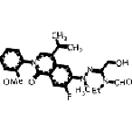 C=C(C)c1cn(-c2ccccc2OC)c(=O)c2cc(F)c(N(C)/N=C(/CO)N(C=O)CC)cc12